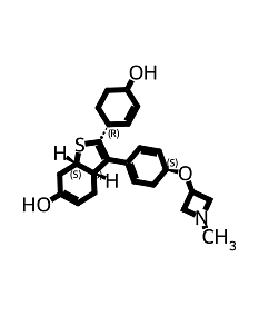 CN1CC(O[C@@H]2C=CC(C3=C([C@H]4C=CC(O)CC4)S[C@H]4CC(O)=CC[C@@H]34)=CC2)C1